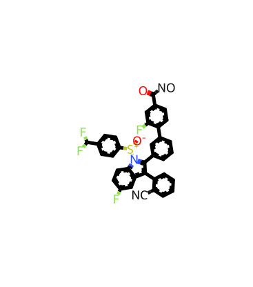 N#Cc1ccccc1-c1c(-c2cccc(-c3ccc(C(=O)N=O)cc3F)c2)n([S+]([O-])c2ccc(C(F)F)cc2)c2ccc(F)cc12